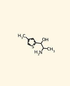 Cc1csc(C(O)C(C)N)c1